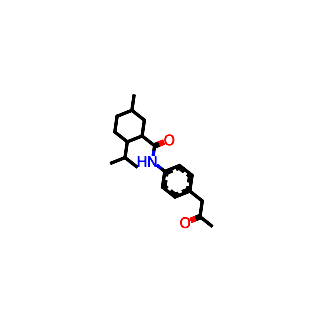 CC(=O)Cc1ccc(NC(=O)C2CC(C)CCC2C(C)C)cc1